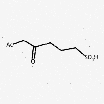 CC(=O)CC(=O)CCCS(=O)(=O)O